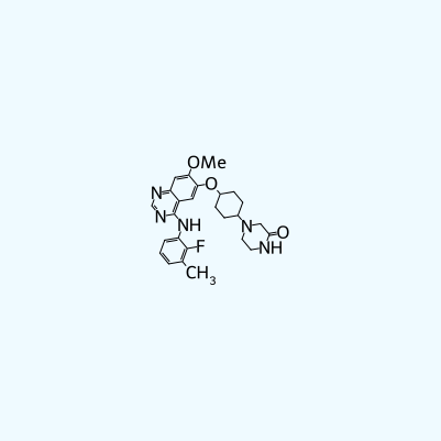 COc1cc2ncnc(Nc3cccc(C)c3F)c2cc1OC1CCC(N2CCNC(=O)C2)CC1